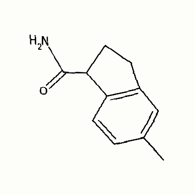 Cc1ccc2c(c1)CCC2C(N)=O